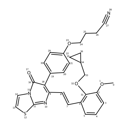 COc1cccc(/C=C/c2nc3sccn3c(=O)c2-c2ccc(OCCCC#N)cc2)c1OCC1CC1